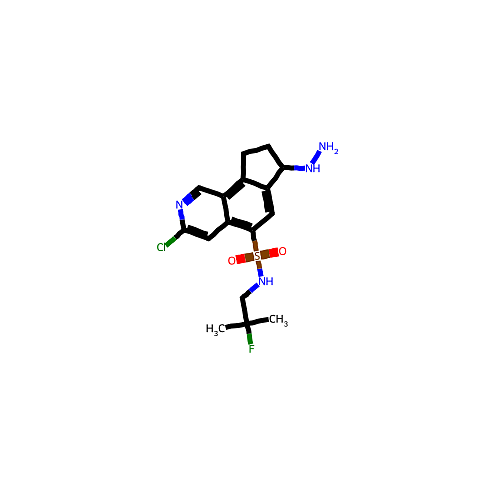 CC(C)(F)CNS(=O)(=O)c1cc2c(c3cnc(Cl)cc13)CCC2NN